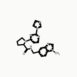 Cn1cnc2cc(CNC(=O)C3CCCN3c3ccnc(-n4ccnc4)n3)ccc21